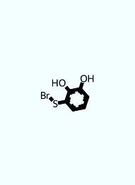 Oc1cccc(SBr)c1O